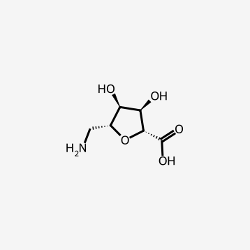 NC[C@H]1O[C@@H](C(=O)O)[C@H](O)[C@@H]1O